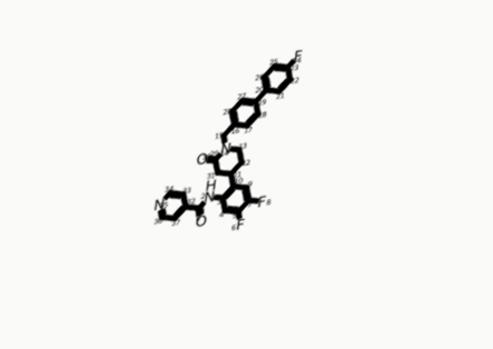 O=C(Nc1cc(F)c(F)cc1C1CCN(Cc2ccc(-c3ccc(F)cc3)cc2)C(=O)C1)c1ccncc1